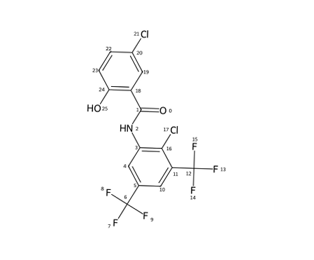 O=C(Nc1cc(C(F)(F)F)cc(C(F)(F)F)c1Cl)c1cc(Cl)ccc1O